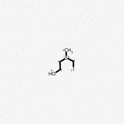 C[S+](CI)CCO